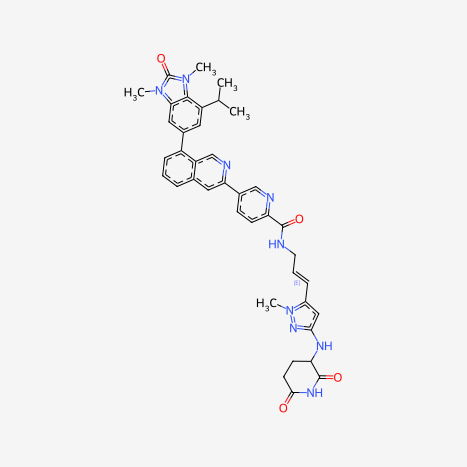 CC(C)c1cc(-c2cccc3cc(-c4ccc(C(=O)NC/C=C/c5cc(NC6CCC(=O)NC6=O)nn5C)nc4)ncc23)cc2c1n(C)c(=O)n2C